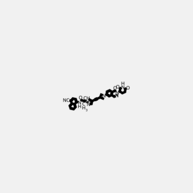 CC(C)(C(=O)Nc1ccc(C#N)c2ccccc12)n1cc(C#CC2CN(c3ccc4c(=O)n(C5CCC(=O)NC5=O)ncc4c3)C2)cn1